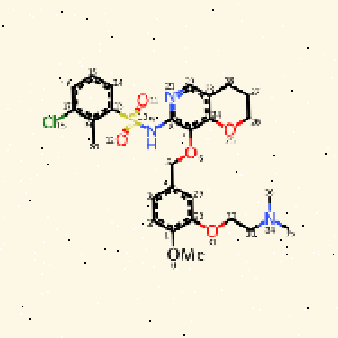 COc1ccc(COc2c(NS(=O)(=O)c3cccc(Cl)c3C)ncc3c2OCCC3)cc1OCCN(C)C